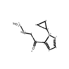 O=C(O)NCC(=O)c1ccnn1C1CC1